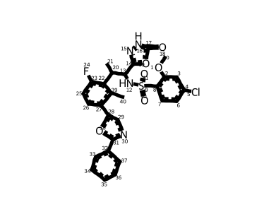 COc1cc(Cl)ccc1S(=O)(=O)NC(c1n[nH]c(=O)o1)C(C)c1c(F)ccc(-c2cnc(-c3ccccc3)o2)c1C